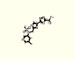 Cc1cncc(N(Cc2ncc(-c3nnc(C(F)F)o3)s2)S(C)(=O)=O)c1